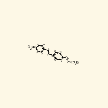 CCOC(=O)COc1ccc(C=Cc2ccc([N+](=O)[O-])cc2)cc1